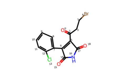 O=C(CCBr)C1=C(c2ccccc2Cl)C(=O)NC1=O